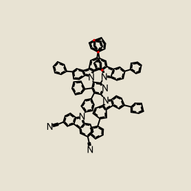 N#Cc1ccc2c(c1)c1cc(C#N)ccc1n2-c1ccc(-c2c(-n3c4ccc(-c5ccccc5)cc4c4cc(-c5ccccc5)ccc43)nc(-n3c4ccc(-c5ccccc5)cc4c4cc(-c5ccccc5)ccc43)c(-n3c4ccc(-c5ccccc5)cc4c4cc(-c5ccccc5)ccc43)c2-c2ccccc2)cc1